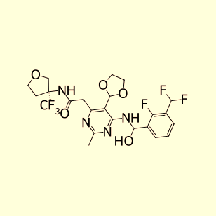 Cc1nc(CC(=O)N[C@@]2(C(F)(F)F)CCOC2)c(C2OCCO2)c(NC(O)c2cccc(C(F)F)c2F)n1